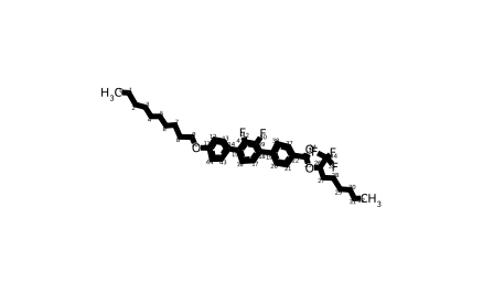 CCCCCCCCCCOc1ccc(-c2ccc(-c3ccc(C(=O)OC(CCCCCC)C(F)(F)F)cc3)c(F)c2F)cc1